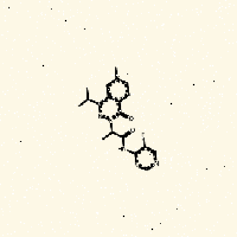 Cc1ccc2c(=O)n(C(C)C(=O)Nc3ncncc3F)nc(C(C)C)c2c1